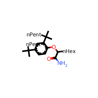 CCCCCCC(Oc1ccc(C(C)(C)CCCCC)cc1C(C)(C)CCCCC)C(N)=O